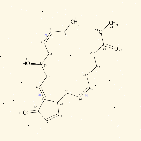 CC/C=C\C[C@H](O)C/C=C1/C(=O)C=CC1C/C=C\CCCC(=O)OC